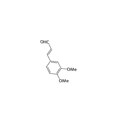 COc1ccc(C=CC=O)cc1OC